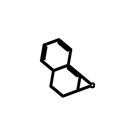 C1=CC2=C3OC3CCC2C=C1